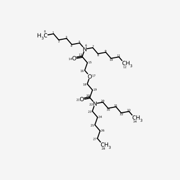 CCCCCCN(CCCCCC)C(=O)CCOCCC(=O)N(CCCCCC)CCCCCC